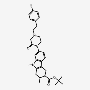 CC1Cc2c(c3ccc(N4CCN(CCc5ccc(F)cc5)CC4=O)cc3n2C)CN1C(=O)OC(C)(C)C